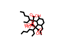 CCCCC(CC)C(C(=O)O)(C(=O)O)C1C(C)CCC(CCC)C1C(C(=O)O)(C(=O)O)C(CC)CCCC